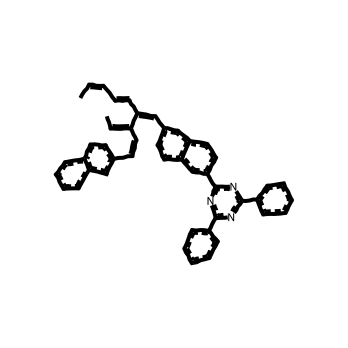 C\C=C/C=C/C(=C/c1ccc2cc(-c3nc(-c4ccccc4)nc(-c4ccccc4)n3)ccc2c1)C(/C=C\c1ccc2ccccc2c1)=C\C